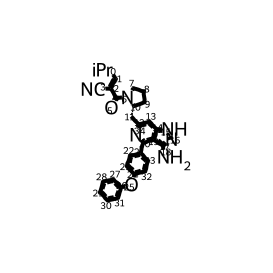 CC(C)C=C(C#N)C(=O)N1CCC[C@@H]1Cc1cc2[nH]nc(N)c2c(-c2ccc(Oc3ccccc3)cc2)n1